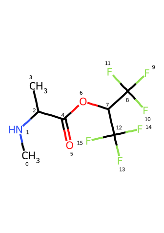 CNC(C)C(=O)OC(C(F)(F)F)C(F)(F)F